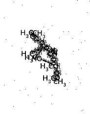 C#CC#CC#CC1(C)c2cc(-c3ccc(OC(C)C)cc3)ccc2-c2ccc(-c3ccc(-c4ccc5c(c4)C(CCCCCC)(CCCCCC)c4cc(-c6ccc(OC(C)C)cc6)ccc4-5)c4nsnc34)cc21